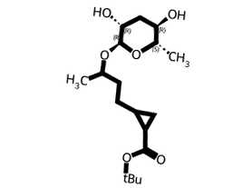 CC(CCC1CC1C(=O)OC(C)(C)C)O[C@@H]1O[C@@H](C)[C@H](O)C[C@H]1O